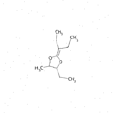 CCC(CC)=C1OC(C)C(CC)O1